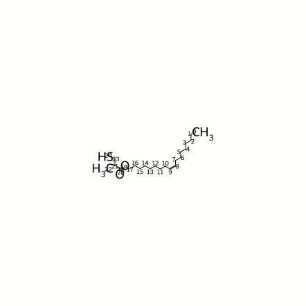 CCCCCCCC/C=C\CCCCCCCCOC(=O)C(C)CS